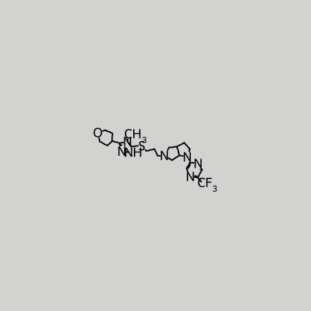 CN1C(C2CCOCC2)=NNC1SCCCN1CC2CCN(c3cnc(C(F)(F)F)cn3)C2C1